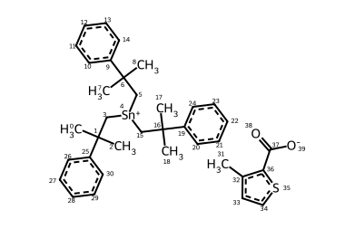 CC(C)([CH2][Sn+]([CH2]C(C)(C)c1ccccc1)[CH2]C(C)(C)c1ccccc1)c1ccccc1.Cc1ccsc1C(=O)[O-]